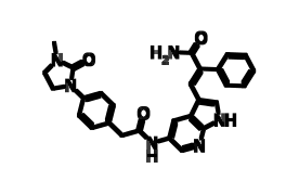 CN1CCN(c2ccc(CC(=O)Nc3cnc4[nH]cc(/C=C(/C(N)=O)c5ccccc5)c4c3)cc2)C1=O